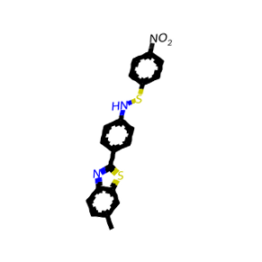 Cc1ccc2nc(-c3ccc(NSc4ccc([N+](=O)[O-])cc4)cc3)sc2c1